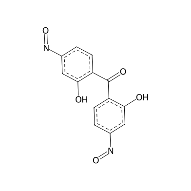 O=Nc1ccc(C(=O)c2ccc(N=O)cc2O)c(O)c1